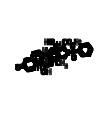 CCOC(=O)C1[C@@H]2C[C@H]3[C@@H]4CCC5=CC(=O)C=C[C@]5(C)[C@H]4[C@@H](O)C[C@]3(C)[C@]2(C(=O)CO)CN1S(=O)(=O)c1ccccc1